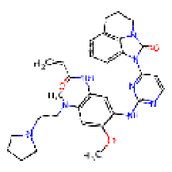 C=CC(=O)Nc1cc(Nc2nccc(-n3c(=O)n4c5c(cccc53)CCC4)n2)c(OC)cc1N(C)CCN1CCCC1